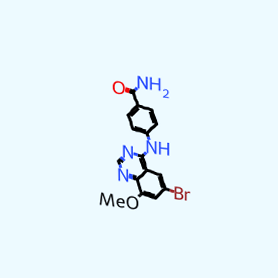 COc1cc(Br)cc2c(Nc3ccc(C(N)=O)cc3)ncnc12